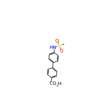 CS(=O)(=O)Nc1ccc(-c2ccc(C(=O)O)cc2)cc1